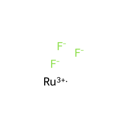 [F-].[F-].[F-].[Ru+3]